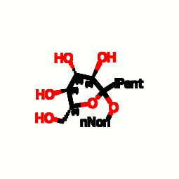 CCCCCCCCCOC1(C(C)CCC)O[C@H](CO)[C@@H](O)[C@H](O)[C@H]1O